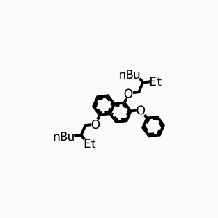 CCCCC(CC)COc1cccc2c(OCC(CC)CCCC)c(Oc3ccccc3)ccc12